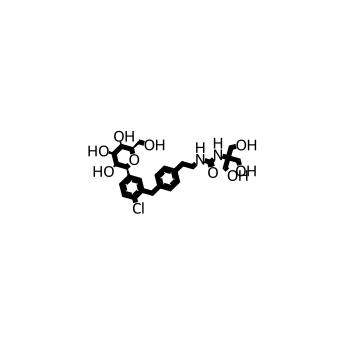 O=C(NCCc1ccc(Cc2cc([C@@H]3O[C@H](CO)[C@@H](O)[C@H](O)[C@H]3O)ccc2Cl)cc1)NC(CO)(CO)CO